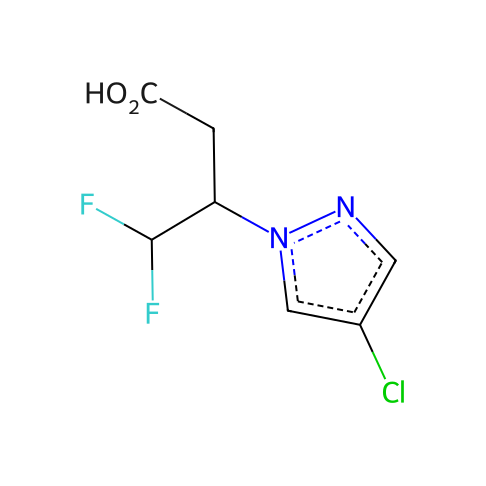 O=C(O)CC(C(F)F)n1cc(Cl)cn1